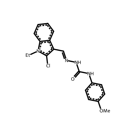 CCn1c(Cl)c(C=NNC(=O)Nc2ccc(OC)cc2)c2ccccc21